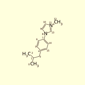 CC(C)Cc1ccc(-n2cc[n+](C)c2)cc1